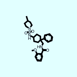 COc1ccccc1C(=O)NCC1(c2ccccc2)CCC(NS(=O)(=O)N2CCC(C)CC2)CC1